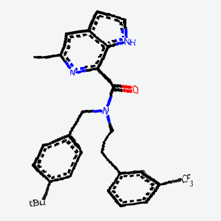 Cc1cc2cc[nH]c2c(C(=O)N(CCc2cccc(C(F)(F)F)c2)Cc2ccc(C(C)(C)C)cc2)n1